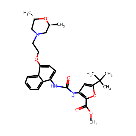 COC(=O)c1oc(C(C)(C)C)cc1NC(=O)Nc1ccc(OCCN2C[C@H](C)O[C@@H](C)C2)c2ccccc12